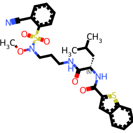 CON(CCCNC(=O)[C@H](CC(C)C)NC(=O)c1cc2ccccc2s1)S(=O)(=O)c1ccccc1C#N